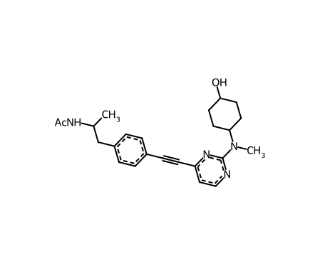 CC(=O)NC(C)Cc1ccc(C#Cc2ccnc(N(C)C3CCC(O)CC3)n2)cc1